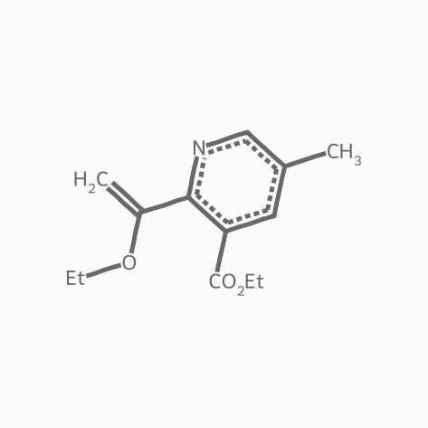 C=C(OCC)c1ncc(C)cc1C(=O)OCC